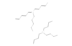 CCCCCN(CCCCC)CCCCC.CCCCN(CCCC)CCCC